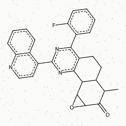 CC1C(=O)C2OC2C2c3nc(-c4ccnc5ccccc45)nc(-c4ccccc4F)c3CCC12